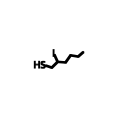 CCCCC(I)CS